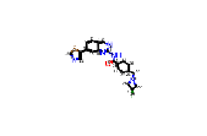 O=C(Nc1ncc2ccc(-c3cncs3)cc2n1)C1CCC(CN2CC(F)C2)CC1